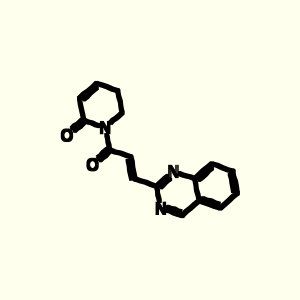 O=C1C=CCCN1C(=O)C=Cc1ncc2ccccc2n1